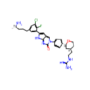 C[C@H](N)CCCc1cc(Cl)c(F)c(-c2cc3cn(-c4ccc([C@H]5C[C@H](CCNC(=N)N)CCO5)cc4)c(=O)nc3[nH]2)c1